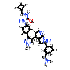 CCN1CC(c2ccnc3[nH]c(-c4cccc(CN(C)C)c4)cc23)C(c2ccc(NC(=O)N(C)CC3CCC3)cc2)=N1